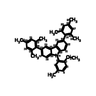 COc1ccc(C)cc1-n1c2ccc(-c3c(C)cc(C)cc3C)cc2c2cc(-c3c(C)cc(C)cc3C)ccc21